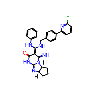 N=c1/c(=C(\NCc2ccc(-c3cccc(F)n3)cc2)Nc2ccccc2)c(=O)[nH]c2n1[C@H]1CCC[C@H]1N=2